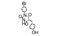 O=C1NC(=O)N(c2ccc(Br)cc2)C(=O)/C1=C/c1ccc(O)cc1